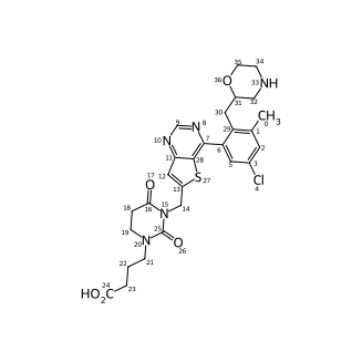 Cc1cc(Cl)cc(-c2ncnc3cc(CN4C(=O)CCN(CCCC(=O)O)C4=O)sc23)c1CC1CNCCO1